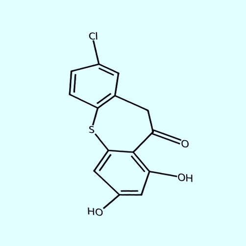 O=C1Cc2cc(Cl)ccc2Sc2cc(O)cc(O)c21